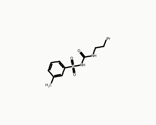 Cc1cccc(S(=O)(=O)NC(=O)NCCC(C)C)c1